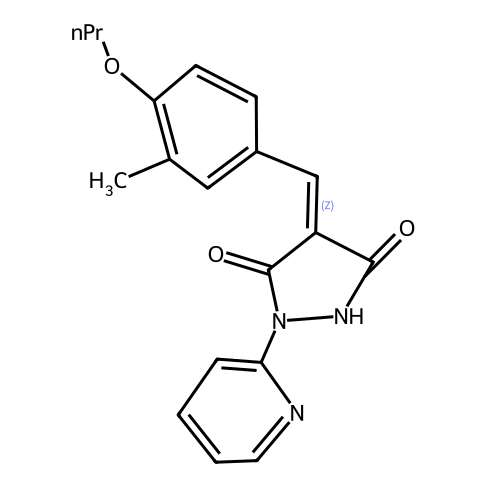 CCCOc1ccc(/C=C2/C(=O)NN(c3ccccn3)C2=O)cc1C